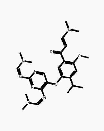 COc1cc(C(C)C)c(Oc2cnc(/N=C\N(C)C)nc2/N=C\N(C)C)cc1C(=O)/C=C/N(C)C